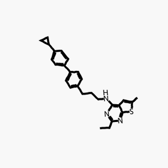 CCc1nc(NCCCc2ccc(-c3ccc(C4CC4)cc3)cc2)c2cc(C)sc2n1